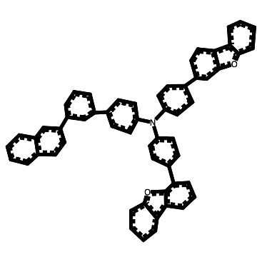 c1cc(-c2ccc(N(c3ccc(-c4ccc5c(c4)oc4ccccc45)cc3)c3ccc(-c4cccc5c4oc4ccccc45)cc3)cc2)cc(-c2ccc3ccccc3c2)c1